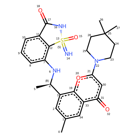 Cc1cc([C@@H](C)Nc2cccc3c2[S@](=N)(=O)NC3=O)c2oc(N3CCC(C)(C)CC3)cc(=O)c2c1